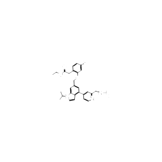 CCOC(=O)Cc1ccc(F)cc1OCc1cc(-c2ccnc(CN)c2)c2ccn(C(C)C)c2c1